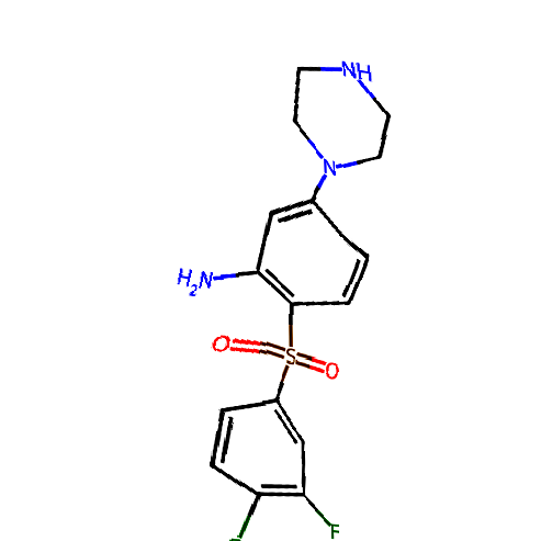 Nc1cc(N2CCNCC2)ccc1S(=O)(=O)c1ccc(F)c(F)c1